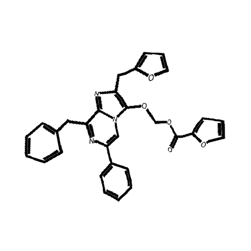 O=C(OCOc1c(Cc2ccco2)nc2c(Cc3ccccc3)nc(-c3ccccc3)cn12)c1ccco1